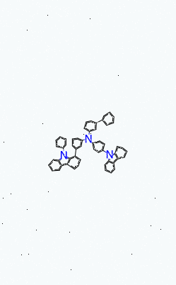 c1ccc(-c2cccc(N(c3ccc(-n4c5ccccc5c5ccccc54)cc3)c3cccc(-c4cccc5c6ccccc6n(-c6ccccc6)c45)c3)c2)cc1